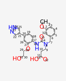 COc1cccc(CN(CCC(=O)O)C(=O)Nc2ccc(-c3cn[nH]c3)cc2OCCO)c1